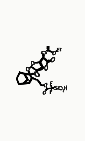 CCOC(C)OC1C(=O)OC2C3OC4(OC3OC12)C1CCCC(C1)CC4CCOC(=O)C(F)(F)S(=O)(=O)O